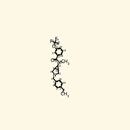 CCc1ccc(CN2CC3C(C2)C3N(C)C(=O)c2cccc(OC(F)(F)F)c2)cc1